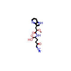 COC(Cc1c[nH]c2cccnc12)C(=O)NC(CCC(=O)C=[N+]=[N-])C(=O)O